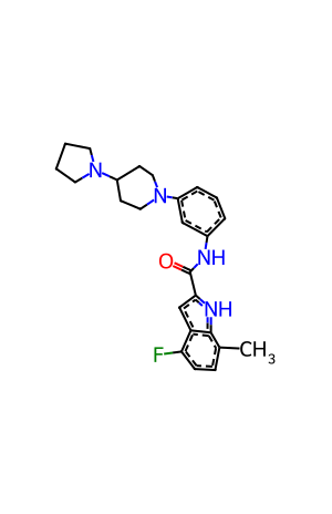 Cc1ccc(F)c2cc(C(=O)Nc3cccc(N4CCC(N5CCCC5)CC4)c3)[nH]c12